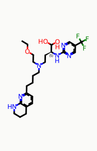 CCOCCN(CCCCc1ccc2c(n1)NCCC2)CC[C@H](Nc1ncc(C(F)(F)F)cn1)C(O)O